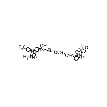 Cn1nnc2c3cc(C(O)NCCOCCOCCOCCOCCNc4cccc5c4C(=O)N(C4CCC(=O)NC4=O)C5=O)ccc3n(-c3ccc(C(F)(F)F)cc3)c21